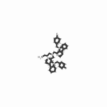 NCCCN(Cc1nccc2c3ccccc3n(Cc3ccc(F)cc3)c12)Cc1nccc2c3ccccc3n(Cc3ccc(F)cc3)c12